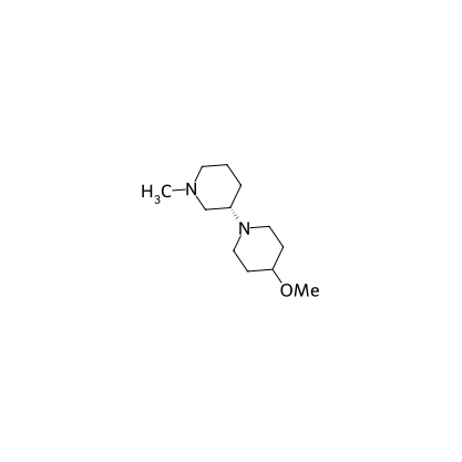 COC1CCN([C@H]2CCCN(C)C2)CC1